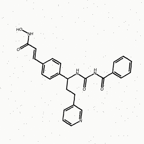 O=C(C=Cc1ccc(C(CCc2cccnc2)NC(=O)NC(=O)c2ccccc2)cc1)NO